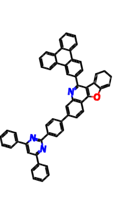 C1=c2oc3c(c(-c4ccc5c6ccccc6c6ccccc6c5c4)nc4cc(-c5ccc(-c6nc(-c7ccccc7)cc(-c7ccccc7)n6)cc5)ccc43)c2=CCC1